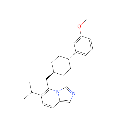 COc1cccc([C@H]2CC[C@H](Cc3c(C(C)C)ccc4cncn34)CC2)c1